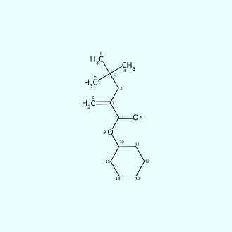 C=C(CC(C)(C)C)C(=O)OC1CCCCC1